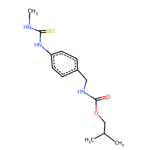 CNC(=S)Nc1ccc(CNC(=O)OCC(C)C)cc1